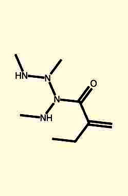 C=C(CC)C(=O)N(NC)N(C)NC